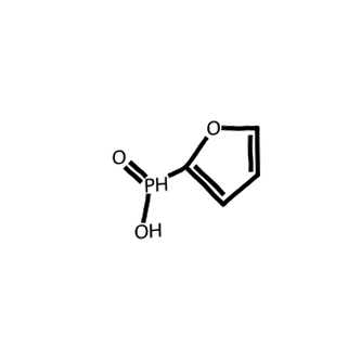 O=[PH](O)c1ccco1